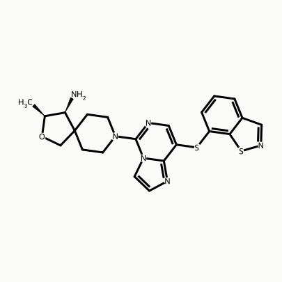 C[C@@H]1OCC2(CCN(c3ncc(Sc4cccc5cnsc45)c4nccn34)CC2)[C@@H]1N